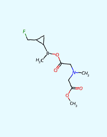 COC(=O)CN(C)CC(=O)OB(C)C1CC1CF